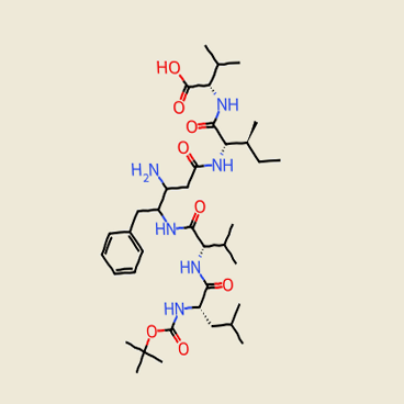 CC[C@H](C)[C@H](NC(=O)CC(N)C(Cc1ccccc1)NC(=O)[C@@H](NC(=O)[C@H](CC(C)C)NC(=O)OC(C)(C)C)C(C)C)C(=O)N[C@H](C(=O)O)C(C)C